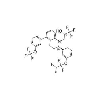 O[C@@H](CN1c2cccc(-c3cccc(OC(F)(F)F)c3)c2CC[C@@H]1C1C=C(OC(F)(F)C(F)F)C=CC1)C(F)(F)F